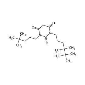 CC(C)(C)CCCN1C(=O)CC(=O)N(CCCC(C)(C)C(C)(C)C)C1=O